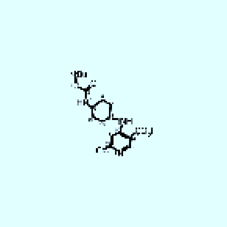 CC(C)(C)OC(=O)N[C@H]1CC[C@@H](Nc2cc(Cl)ncc2C(=O)O)CC1